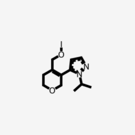 CC(C)n1nccc1C1=C(COI)CCOC1